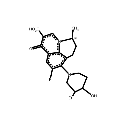 CCC1CN(c2c(F)cc3c(=O)c(C(=O)O)cn4c3c2CC[C@@H]4C)CCC1O